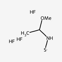 COC(C)N[S].F.F.F